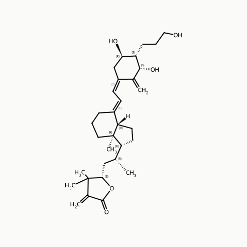 C=C1/C(=C\C=C2/CCC[C@]3(C)[C@@H]([C@H](C)C[C@@H]4OC(=O)C(=C)C4(C)C)CC[C@@H]23)C[C@@H](O)[C@H](CCCO)[C@@H]1O